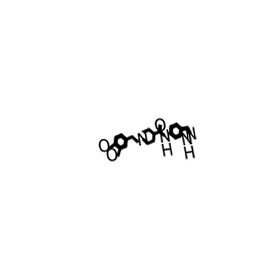 O=C1OCc2cc(CCN3CCC(C(=O)Nc4ccc5cn[nH]c5c4)CC3)ccc21